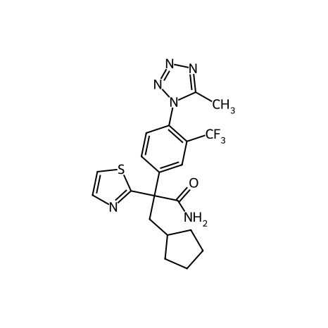 Cc1nnnn1-c1ccc(C(CC2CCCC2)(C(N)=O)c2nccs2)cc1C(F)(F)F